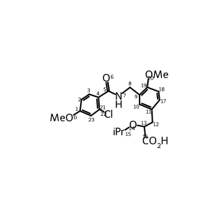 COc1ccc(C(=O)NCc2cc(CC(OC(C)C)C(=O)O)ccc2OC)c(Cl)c1